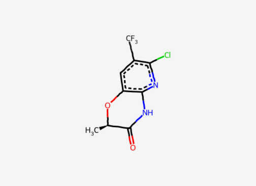 C[C@H]1Oc2cc(C(F)(F)F)c(Cl)nc2NC1=O